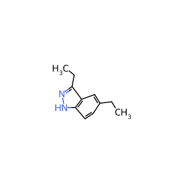 CCc1ccc2[nH]nc(CC)c2c1